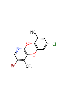 N#Cc1cc(Cl)cc(Oc2c(O)ncc(Br)c2C(F)(F)F)c1